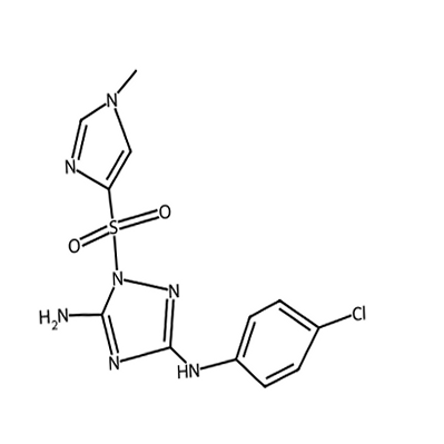 Cn1cnc(S(=O)(=O)n2nc(Nc3ccc(Cl)cc3)nc2N)c1